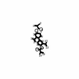 C=C(C)C(=O)Oc1ccc(-c2ccc(OC(=O)C(=C)C)c(C(=C)C)c2)c(C(=C)C)c1